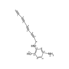 C#CC#CC#CC#CCNc1cc(N)ccc1O